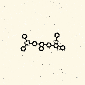 c1ccc(-c2nc(-c3ccccc3)nc(-c3ccc(-c4ccc(-c5ccc(-c6cc7oc8ccccc8c7c7nc(-c8ccccc8)oc67)cc5)c5ccccc45)cc3)n2)cc1